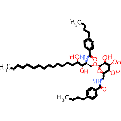 CCCCCCCCCCCCCC[C@@H](O)[C@@H](O)[C@H](CO[C@H]1OC(CNC(=O)c2ccc(CCCC)cc2)[C@H](O)[C@H](O)C1O)NC(=O)c1ccc(CCCC)cc1